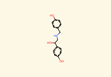 Oc1ccc(CNCC(O)c2ccc(O)cc2)cc1